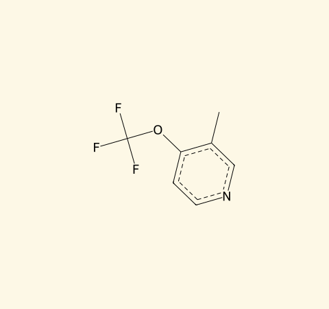 Cc1cnccc1OC(F)(F)F